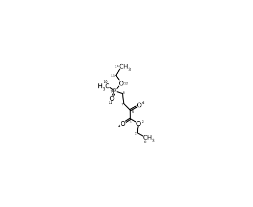 CCOC(=O)C(=O)CCP(C)(=O)OCC